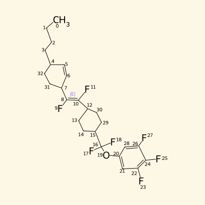 CCCCC1C=CC(/C(F)=C(\F)C2CCC(C(F)(F)Oc3cc(F)c(F)c(F)c3)CC2)CC1